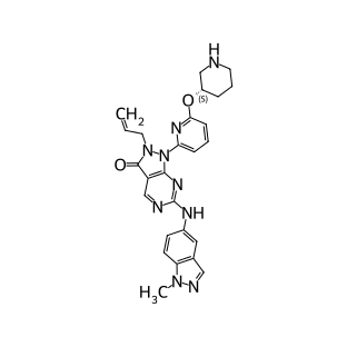 C=CCn1c(=O)c2cnc(Nc3ccc4c(cnn4C)c3)nc2n1-c1cccc(O[C@H]2CCCNC2)n1